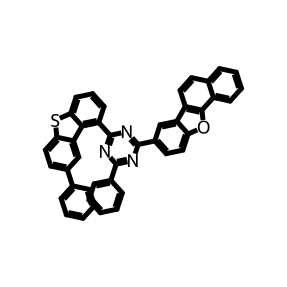 c1ccc(-c2ccc3sc4cccc(-c5nc(-c6ccccc6)nc(-c6ccc7oc8c9ccccc9ccc8c7c6)n5)c4c3c2)cc1